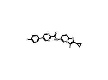 Cc1c(C2CC2)nc2ccc(NC(=O)c3ncc(-c4ccc(F)cc4)cn3)cn12